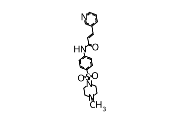 CN1CCN(S(=O)(=O)c2ccc(NC(=O)C=Cc3cccnc3)cc2)CC1